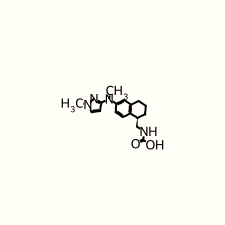 CN(c1ccc2c(c1)CCC[C@H]2CNC(=O)O)c1ccn(C)n1